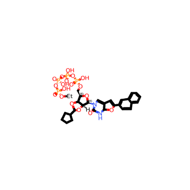 CCOP(=O)(O)OP(=O)(O)OP(=O)(O)OP(=O)(O)OC[C@H]1O[C@@H](N2C=C3C=C(c4ccc5ccccc5c4)OC3NC2=O)[C@H]2OC(C3CCCC3)OC12